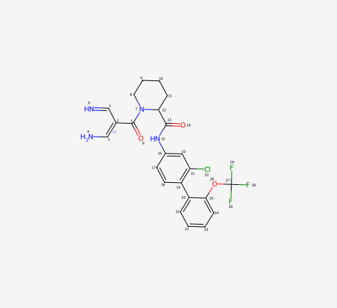 N=C/C(=C\N)C(=O)N1CCCCC1C(=O)Nc1ccc(-c2ccccc2OC(F)(F)F)c(Cl)c1